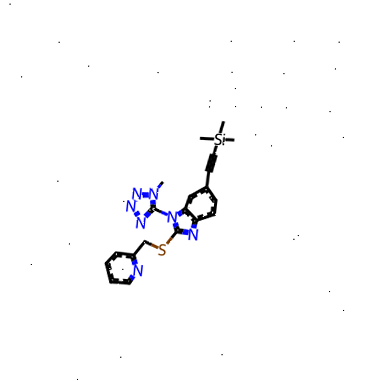 Cn1nnnc1-n1c(SCc2ccccn2)nc2ccc(C#C[Si](C)(C)C)cc21